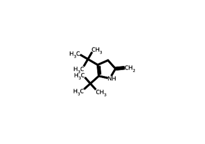 C=C1CC(C(C)(C)C)=C(C(C)(C)C)N1